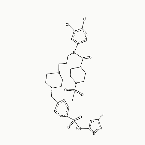 Cc1cc(NS(=O)(=O)c2ccc(CC3CCN(CCCN(C(=O)C4CCN(S(C)(=O)=O)CC4)c4ccc(Cl)c(Cl)c4)CC3)cc2)no1